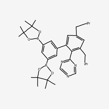 CC(C)Cc1cc(CC(C)C)c(-c2ncncn2)c(-c2cc(B3OC(C)(C)C(C)(C)O3)cc(B3OC(C)(C)C(C)(C)O3)c2)c1